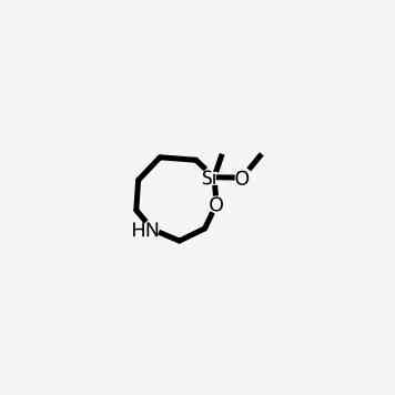 CO[Si]1(C)CCCCNCCO1